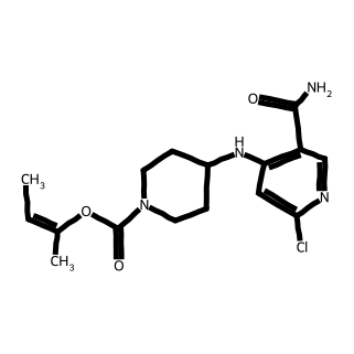 C/C=C(/C)OC(=O)N1CCC(Nc2cc(Cl)ncc2C(N)=O)CC1